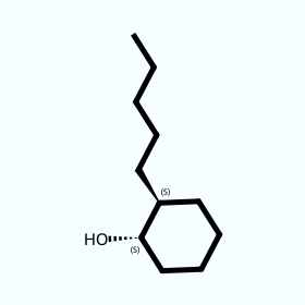 CCCCC[C@H]1CCCC[C@@H]1O